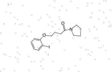 O=C(CCCOc1ccccc1I)N1CCCC1